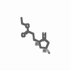 CCOC(=O)CC[C@@H]1C[C@@H](C)CN1